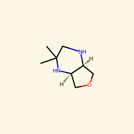 CC1(C)CN[C@H]2COC[C@H]2N1